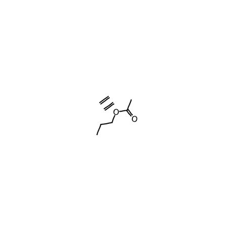 C=C.C=C.CCCOC(C)=O